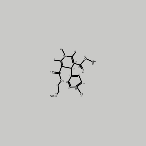 COCCOC(=O)C1=C(C)N(C)C(C)=C(C(=O)OC(C)C)C1c1ccc(Cl)cc1